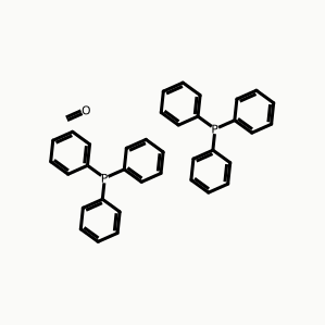 C=O.c1ccc(P(c2ccccc2)c2ccccc2)cc1.c1ccc(P(c2ccccc2)c2ccccc2)cc1